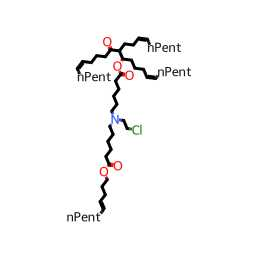 CCCCC/C=C\CCCC(=O)C(CC/C=C\CCCCC)C(CCC/C=C\CCCCC)OC(=O)CCCCCN(CCCl)CCCCCC(=O)OCCC/C=C/CCCCC